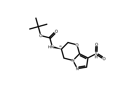 CC(C)(C)OC(=O)N[C@H]1COc2c([SH](=O)=O)cnn2C1